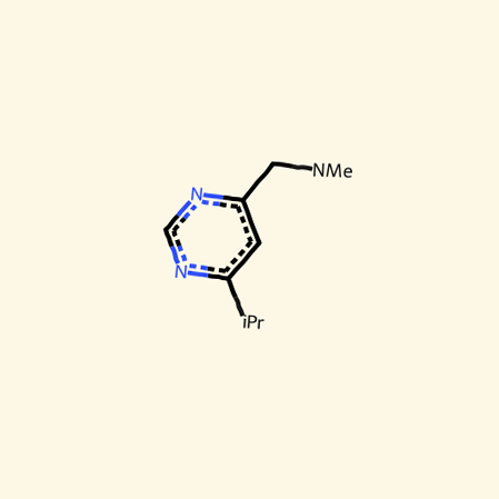 CNCc1cc(C(C)C)ncn1